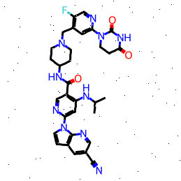 CC(C)Nc1cc(-n2ccc3cc(C#N)cnc32)ncc1C(=O)NC1CCN(Cc2cc(N3CCC(=O)NC3=O)ncc2F)CC1